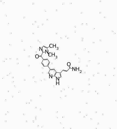 Cc1cnc(C(=O)c2ccc(-c3cnc4[nH]cc(/C=C/C(N)=O)c4c3)cc2)n1C